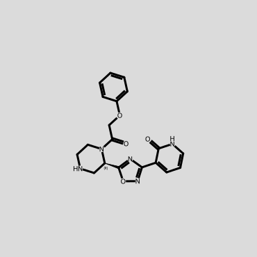 O=C(COc1ccccc1)N1CCNC[C@@H]1c1nc(-c2ccc[nH]c2=O)no1